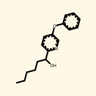 CCCCCC(O)c1ccc(Oc2ccccc2)cn1